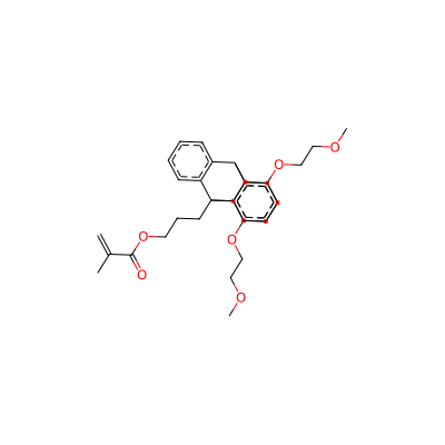 C=C(C)C(=O)OCCCC12c3ccccc3C(c3ccccc31)c1c(OCCOC)ccc(OCCOC)c12